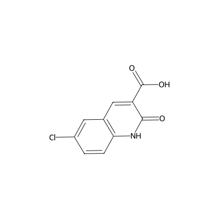 O=C(O)c1cc2cc(Cl)ccc2[nH]c1=O